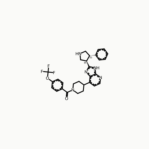 O=C(c1ccc(OC(F)(F)F)cc1)N1CCC(c2ccnc3[nH]c([C@H]4CNC[C@@H]4c4ccccc4)nc23)CC1